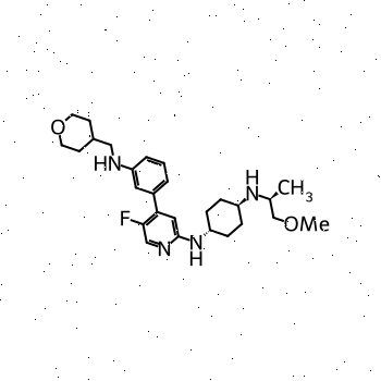 COC[C@H](C)N[C@H]1CC[C@H](Nc2cc(-c3cccc(NCC4CCOCC4)c3)c(F)cn2)CC1